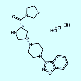 Cl.Cl.Cl.O=C([C@@H]1C[C@H](N2CCN(c3noc4ccccc34)CC2)CN1)N1CCSC1